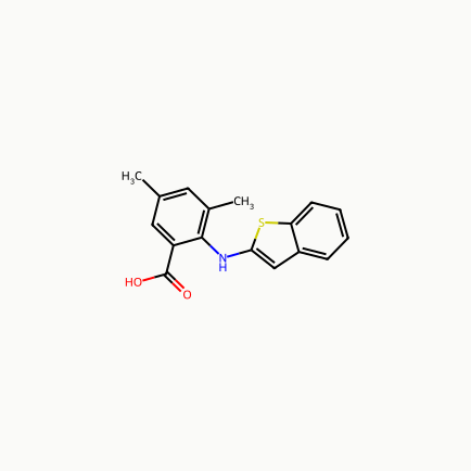 Cc1cc(C)c(Nc2cc3ccccc3s2)c(C(=O)O)c1